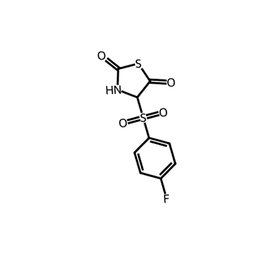 O=C1NC(S(=O)(=O)c2ccc(F)cc2)C(=O)S1